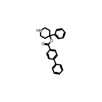 O=C(OC1(c2ccccc2)CCNCC1)c1ccc(-c2ccccc2)cc1